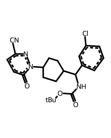 CC(C)(C)OC(=O)NC(c1cccc(Cl)c1)C1CCC(n2nc(C#N)ccc2=O)CC1